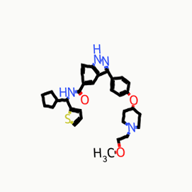 COCCN1CCC(Oc2ccc(-c3n[nH]c4ccc(C(=O)NC(c5cccs5)C5CCCC5)cc34)cc2)CC1